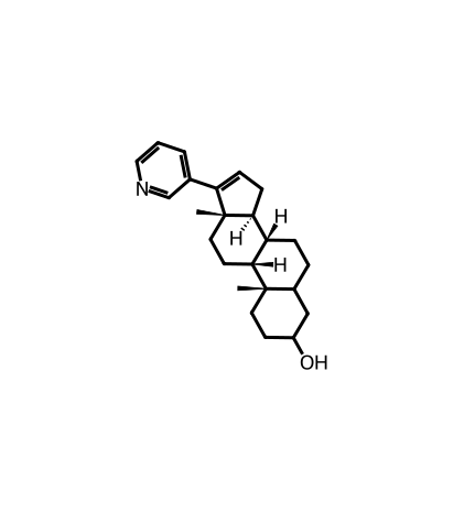 C[C@]12CCC(O)CC1CC[C@@H]1[C@H]2CC[C@]2(C)C(c3cccnc3)=CC[C@@H]12